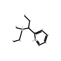 CCC(c1ccccn1)N(C)CC